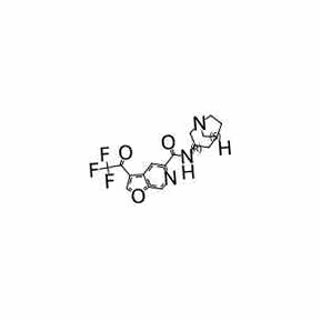 O=C(N[C@@H]1C[C@@H]2CCN(C2)C1)c1cc2c(C(=O)C(F)(F)F)coc2cn1